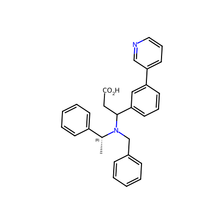 C[C@H](c1ccccc1)N(Cc1ccccc1)C(CC(=O)O)c1cccc(-c2cccnc2)c1